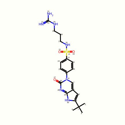 CC(C)(C)c1cc2cn(-c3ccc(S(=O)(=O)NCCCNC(=N)N)cc3)c(=O)nc2[nH]1